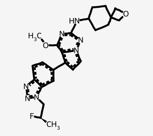 COc1nc(NC2CCC3(CC2)COC3)nn2ccc(-c3ccc4nnn(C[C@@H](C)F)c4c3)c12